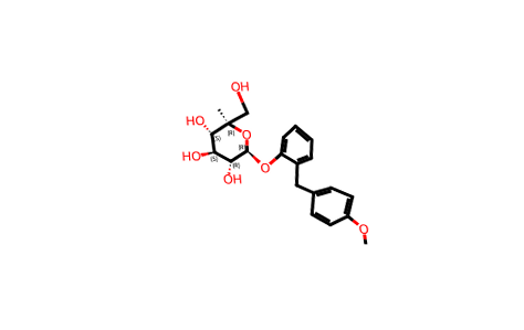 COc1ccc(Cc2ccccc2O[C@@H]2O[C@](C)(CO)[C@@H](O)[C@H](O)[C@H]2O)cc1